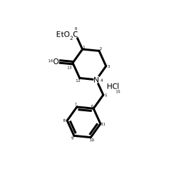 CCOC(=O)C1CCN(Cc2ccccc2)CC1=O.Cl